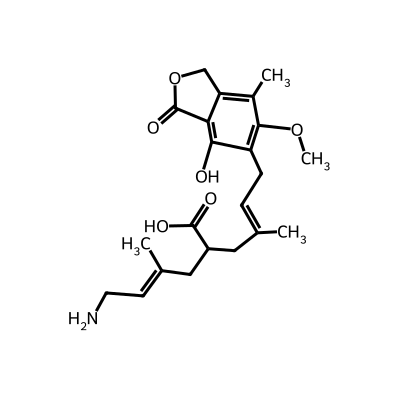 COc1c(C)c2c(c(O)c1C/C=C(\C)CC(C/C(C)=C/CN)C(=O)O)C(=O)OC2